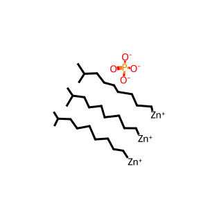 CC(C)CCCCCC[CH2][Zn+].CC(C)CCCCCC[CH2][Zn+].CC(C)CCCCCC[CH2][Zn+].O=P([O-])([O-])[O-]